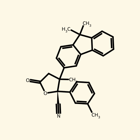 Cc1cccc([C@]2(C#N)OC(=O)CC2(C)c2ccc3c(c2)-c2ccccc2C3(C)C)c1